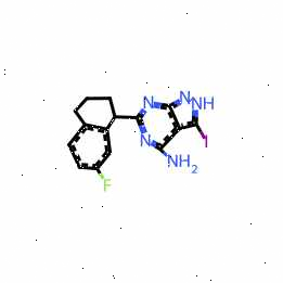 Nc1nc(C2CCCc3ccc(F)cc32)nc2n[nH]c(I)c12